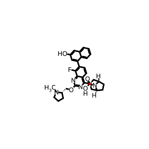 CN1CCC[C@H]1COc1nc(N2C[C@@H]3CC[C@@H](C2)N3C(=O)O)c2ccc(-c3cc(O)cc4ccccc34)c(F)c2n1